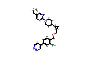 CCc1cnc(N2CCC([C@H]3C[C@H]3COCc3ccc(-c4ccnnc4)cc3F)CC2)nc1